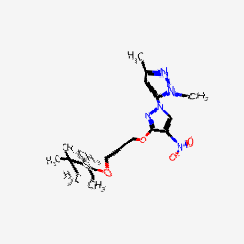 Cc1cc(-n2cc([N+](=O)[O-])c(OCCCO[Si](C)(C)C(C)(C)C)n2)n(C)n1